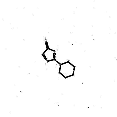 O=C1C=NC(C2CCCCC2)=N1